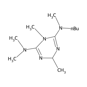 CCCCN(C)C1=NC(C)N=C(N(C)C)N1C